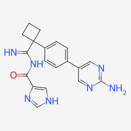 N=C(NC(=O)c1c[nH]cn1)C1(c2ccc(-c3cnc(N)nc3)cc2)CCC1